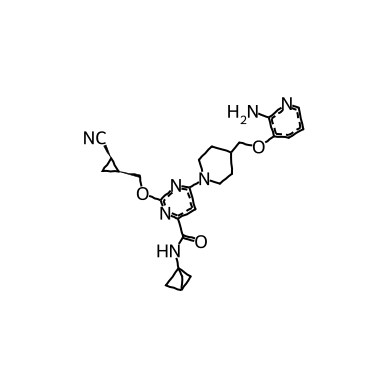 N#C[C@@H]1C[C@@H]1COc1nc(C(=O)NC23CC(C2)C3)cc(N2CCC(COc3cccnc3N)CC2)n1